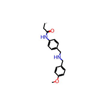 [CH2]CC(=O)Nc1ccc(CNCc2ccc(OC)cc2)cc1